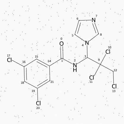 O=C(NC(n1ccnc1)C(Cl)(Cl)CCl)c1cc(Cl)cc(Cl)c1